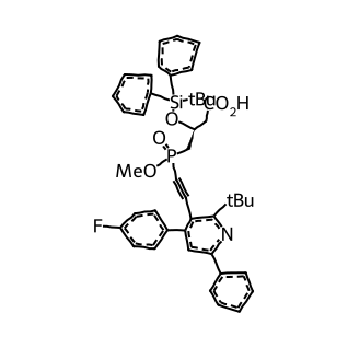 COP(=O)(C#Cc1c(-c2ccc(F)cc2)cc(-c2ccccc2)nc1C(C)(C)C)C[C@H](CC(=O)O)O[Si](c1ccccc1)(c1ccccc1)C(C)(C)C